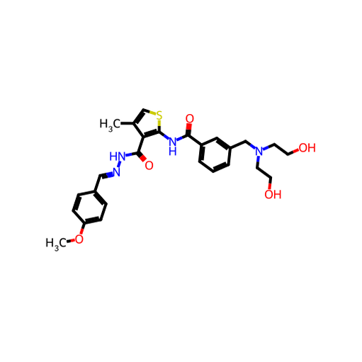 COc1ccc(C=NNC(=O)c2c(C)csc2NC(=O)c2cccc(CN(CCO)CCO)c2)cc1